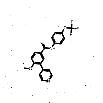 COc1ccc(C(=O)Nc2ccc(OC(F)(F)F)cc2)cc1-c1ccncc1